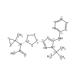 CC1(N(C(=O)O)[C@@H]2CC[C@H](c3cc(Nc4ccncn4)n(C(C)(C)C)n3)C2)CC1